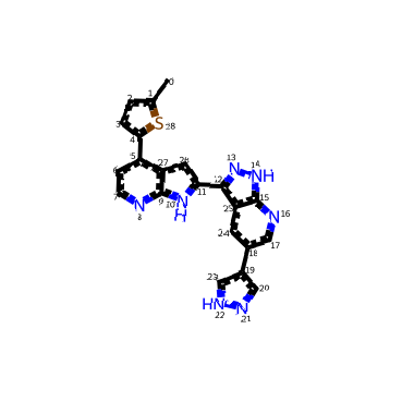 Cc1ccc(-c2ccnc3[nH]c(-c4n[nH]c5ncc(-c6cn[nH]c6)cc45)cc23)s1